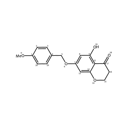 COc1ccc(COc2cc(O)c3c(c2)OCCC3=O)cc1